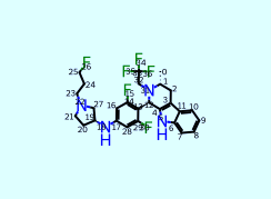 C[C@@H]1Cc2c([nH]c3ccccc23)[C@@H](c2c(F)cc(N[C@H]3CCN(CCCF)C3)cc2F)N1CC(F)(F)F